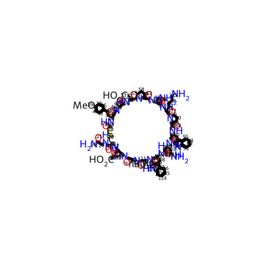 CCCC[C@H]1C(=O)N(C)[C@@H](CCCC)C(=O)N[C@@H](CCC(=O)O)C(=O)N[C@H](C(=O)NCC(N)=O)CSCC(=O)N[C@@H](CCc2ccc(OC)cc2)C(=O)N(C)[C@@H](C)C(=O)N[C@@H](CC(=O)O)C(=O)N2CCCC2C(=O)N[C@@H](CN)C(=O)N[C@@H](CCCCN)C(=O)N2CCCC2C(=O)N[C@@H](Cc2c[nH]c3ccccc23)C(=O)N[C@@H](CCN)C(=O)N[C@@H](Cc2c[nH]c3ccccc23)C(=O)N1C